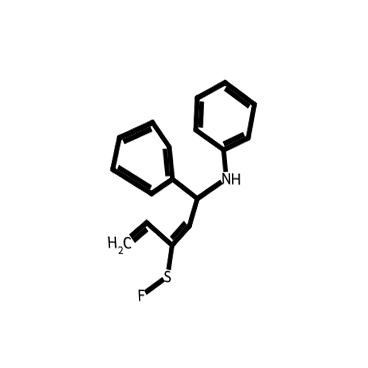 C=C/C(=C\C(Nc1ccccc1)c1ccccc1)SF